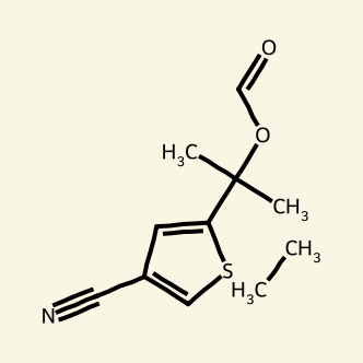 CC.CC(C)(OC=O)c1cc(C#N)cs1